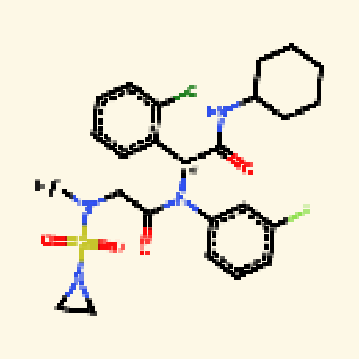 CN(CC(=O)N(c1cccc(F)c1)[C@H](C(=O)NC1CCCCC1)c1ccccc1Cl)S(=O)(=O)N1CC1